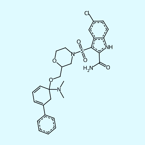 CN(C)C1(OCC2CN(S(=O)(=O)c3c(C(N)=O)[nH]c4ccc(Cl)cc34)CCO2)C=CC=C(c2ccccc2)C1